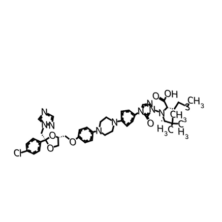 CSCC[C@@H](C(=O)O)N([CH]C(C)(C)C)n1ncn(-c2ccc(N3CCN(c4ccc(OC[C@@H]5CO[C@@](Cn6cncn6)(c6ccc(Cl)cc6)O5)cc4)CC3)cc2)c1=O